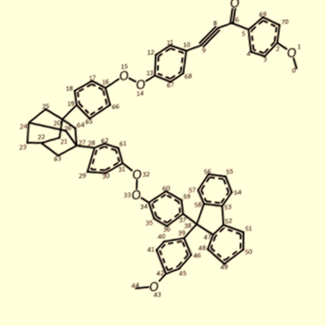 COc1ccc(C(=O)C#Cc2ccc(OOc3ccc(C45CC6CC(C4)CC(c4ccc(OOc7ccc(C8(c9ccc(OC)cc9)c9ccccc9-c9ccccc98)cc7)cc4)(C6)C5)cc3)cc2)cc1